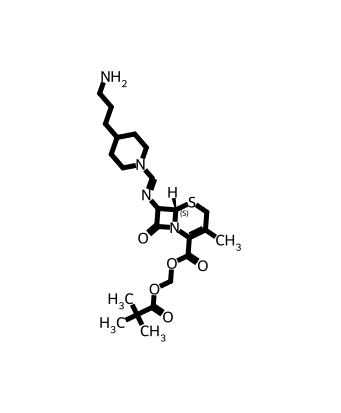 CC1=C(C(=O)OCOC(=O)C(C)(C)C)N2C(=O)C(N=CN3CCC(CCCN)CC3)[C@@H]2SC1